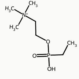 CCP(=O)(O)OCC[N+](C)(C)C